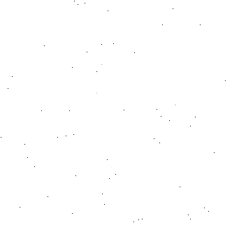 COc1nc(C(=CCBr)c2ccc(C(C)(C)C)cc2)ccc1Cl